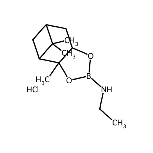 CCNB1OC2CC3CC(C3(C)C)C2(C)O1.Cl